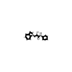 O=C(Nc1ccccc1)[C@H](I)Cn1ccc2ccccc21